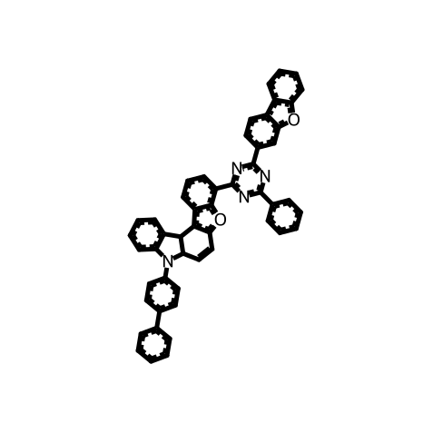 C1=CC2C(c3ccccc3N2c2ccc(-c3ccccc3)cc2)c2c1oc1c(-c3nc(-c4ccccc4)nc(-c4ccc5c(c4)oc4ccccc45)n3)cccc21